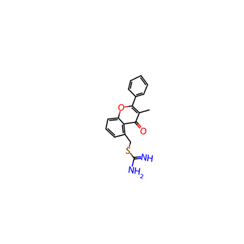 Cc1c(-c2ccccc2)oc2cccc(CSC(=N)N)c2c1=O